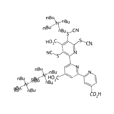 CCCC[N+](CCCC)(CCCC)CCCC.CCCC[N+](CCCC)(CCCC)CCCC.CCCC[N+](CCCC)(CCCC)CCCC.N#CSc1nc(-c2cc(C(=O)O)cc(-c3cc(C(=O)O)ccn3)n2)c(SC#N)c(C(=O)O)c1SC#N.[Ru+2]